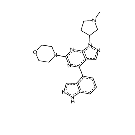 CN1CCC(n2ncc3c(-c4cccc5[nH]ncc45)nc(N4CCOCC4)nc32)C1